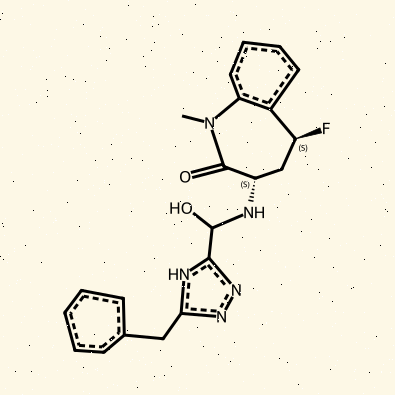 CN1C(=O)[C@@H](NC(O)c2nnc(Cc3ccccc3)[nH]2)C[C@H](F)c2ccccc21